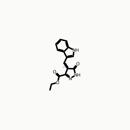 CCOC(=O)C1=NNC(=O)/C1=C\c1c[nH]c2ccccc12